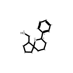 OCC1CCCC12CCCC(c1ccccc1)O2